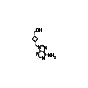 Nc1ncnc2c1ncn2C[C@H]1C[C@@H](CO)C1